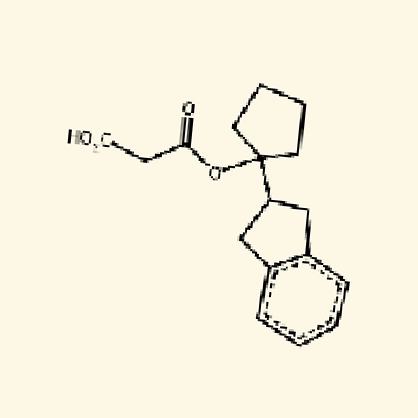 O=C(O)CC(=O)OC1(C2Cc3ccccc3C2)CCCC1